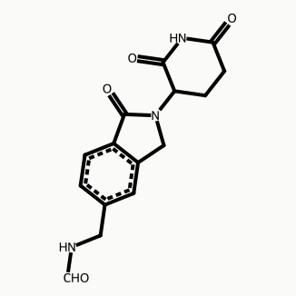 O=CNCc1ccc2c(c1)CN(C1CCC(=O)NC1=O)C2=O